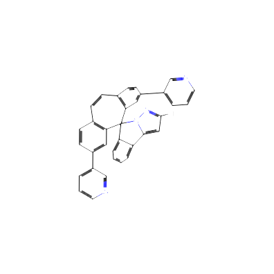 FC(F)(F)c1cc2n(n1)C1(c3cc(-c4cccnc4)ccc3C=Cc3ccc(-c4cccnc4)cc31)c1ccccc1-2